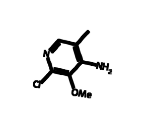 COc1c(Cl)ncc(C)c1N